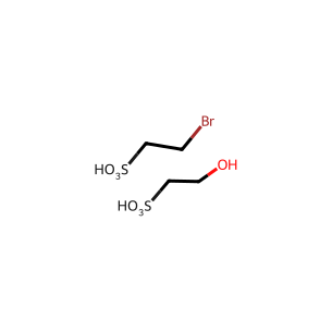 O=S(=O)(O)CCBr.O=S(=O)(O)CCO